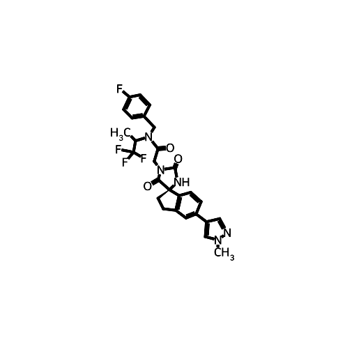 CC(N(Cc1ccc(F)cc1)C(=O)CN1C(=O)N[C@@]2(CCc3cc(-c4cnn(C)c4)ccc32)C1=O)C(F)(F)F